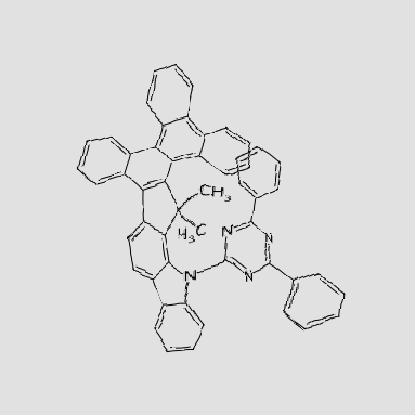 CC1(C)c2c(c3ccccc3c3c4ccccc4c4ccccc4c23)-c2ccc3c4ccccc4n(-c4nc(-c5ccccc5)nc(-c5ccccc5)n4)c3c21